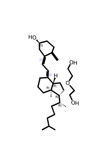 C=C1CC[C@H](O)C/C1=C/C=C1\CCC[C@]2(C)[C@@H]([C@H](C)CCCC(C)C)CC[C@@H]12.OCCOCCO